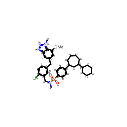 COc1cc(Cc2ccc(Cl)c(CN(C)S(=O)(=O)c3ccc(C4CCCCC(C5CCCCC5)C4)cc3)c2)cc2nnn(C)c12